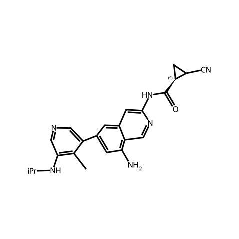 Cc1c(NC(C)C)cncc1-c1cc(N)c2cnc(NC(=O)[C@H]3CC3C#N)cc2c1